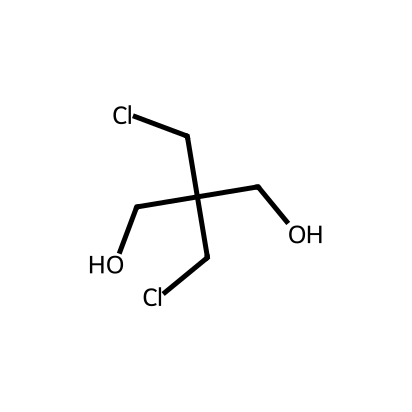 OCC(CO)(CCl)CCl